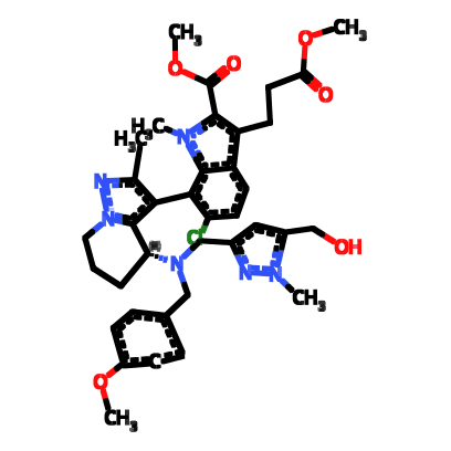 COC(=O)CCc1c(C(=O)OC)n(C)c2c(-c3c(C)nn4c3[C@H](N(Cc3ccc(OC)cc3)Cc3cc(CO)n(C)n3)CCC4)c(Cl)ccc12